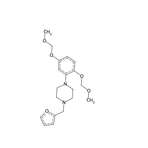 COCOc1ccc(OCOC)c(N2CCN(Cc3ccco3)CC2)c1